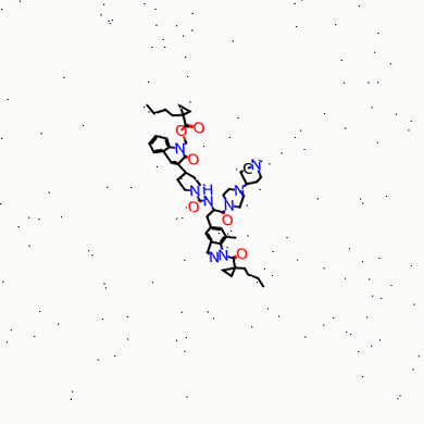 CCCCC1(C(=O)OCn2c(=O)c(C3CCN(C(=O)NC(Cc4cc(C)c5c(cnn5C(=O)C5(CCCC)CC5)c4)C(=O)N4CCN(C5CCN(C)CC5)CC4)CC3)cc3ccccc32)CC1